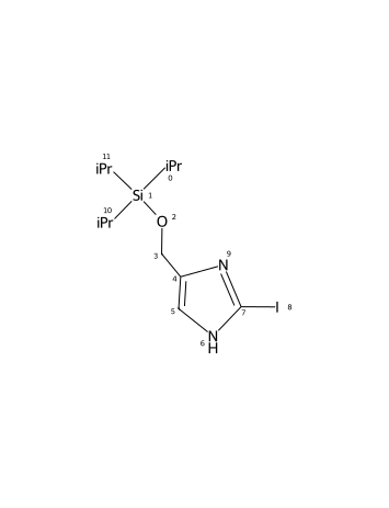 CC(C)[Si](OCc1c[nH]c(I)n1)(C(C)C)C(C)C